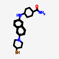 NC(=O)C1CCC(Nc2ccc3cc(N4CCC(S)CC4)ccc3c2)CC1